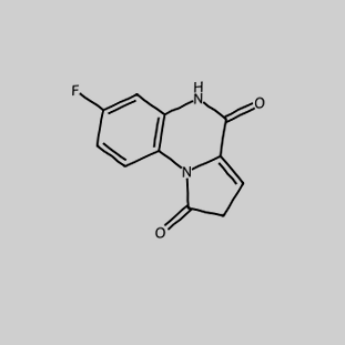 O=C1Nc2cc(F)ccc2N2C(=O)CC=C12